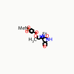 CCn1nc(C[C@@H](C)COC(=O)c2ccc(S(=O)(=O)NC)cc2)c2c1C(=O)NCC1(CCOCC1)C2